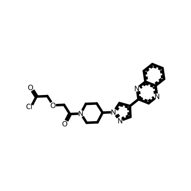 O=C(Cl)COCC(=O)N1CCC(n2cc(-c3cnc4ccccc4n3)cn2)CC1